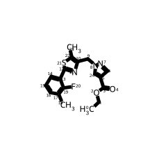 CCOC(=O)c1cnn(Cc2nc(-c3cccc(C)c3F)sc2C)c1